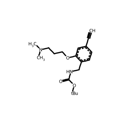 C#Cc1ccc(CNC(=O)OC(C)(C)C)c(OCCCN(C)C)c1